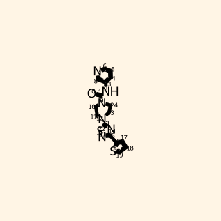 O=C(Nc1cccnc1)N1CCN(c2nc(-c3cccs3)ns2)CC1